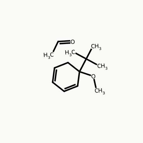 CC=O.COC1(C(C)(C)C)C=CC=CC1